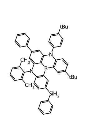 Cc1cccc(C)c1N1c2ccc([SiH2]c3ccccc3)cc2B2c3cc(C(C)(C)C)ccc3N(c3ccc(C(C)(C)C)cc3)c3cc(-c4ccccc4)cc1c32